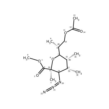 COC(=O)[C@@]1(C)OC([C@H](C)COC(C)=O)[C@H](C)[C@H](C)C1N=[N+]=[N-]